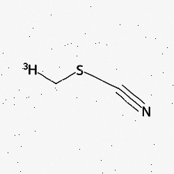 [3H]CSC#N